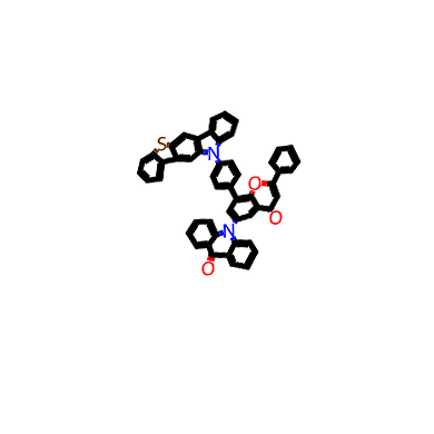 O=c1cc(-c2ccccc2)oc2c(-c3ccc(-n4c5ccccc5c5cc6sc7ccccc7c6cc54)cc3)cc(-n3c4ccccc4c(=O)c4ccccc43)cc12